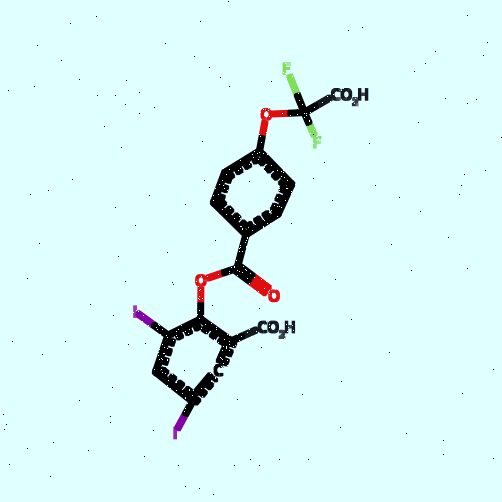 O=C(Oc1c(I)cc(I)cc1C(=O)O)c1ccc(OC(F)(F)C(=O)O)cc1